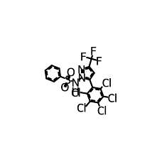 O=S(=O)(Nn1nc(C(F)(F)F)cc1-c1c(Cl)c(Cl)c(Cl)c(Cl)c1Cl)c1ccccc1